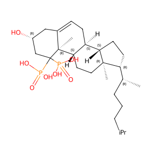 CC(C)CCC[C@@H](C)[C@H]1CC[C@H]2[C@@H]3CC=C4C[C@@H](O)CC(P(=O)(O)O)(P(=O)(O)O)[C@]4(C)[C@H]3CC[C@]12C